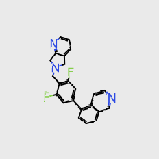 Fc1cc(-c2cccc3cnccc23)cc(F)c1CN1Cc2cccnc2C1